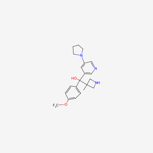 CC1(C(O)(c2ccc(OC(F)(F)F)cc2)c2cncc(N3CCCC3)c2)CNC1